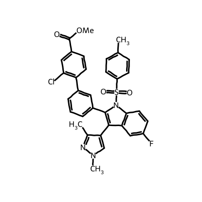 COC(=O)c1ccc(-c2cccc(-c3c(-c4cn(C)nc4C)c4cc(F)ccc4n3S(=O)(=O)c3ccc(C)cc3)c2)c(Cl)c1